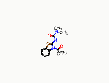 CC(C)COC(=O)n1c(=NC(=O)N(C)C)sc2ccccc21